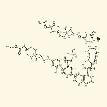 CCOC(=O)CN1CCC2(CC1)CC(COc1ccc(-c3ccc(N4CCc5cccc(C(=O)Nc6nc7ccccc7s6)c5C4)nc3C(=O)OC(C)(C)C)c(C)c1)C2.CCOC(=O)CN1CCC2(CC1)CC(COc1ccc(Br)c(C)c1)C2